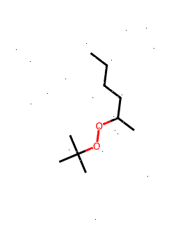 CCCCC(C)OOC(C)(C)C